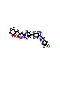 O=C(O)C(Cc1nnc2cc(-c3ccc(Nc4nc5ccc(Cl)cc5s4)cc3)ccn12)CC1CCCCC1